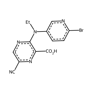 CCN(c1ccc(Br)nc1)c1ncc(C#N)nc1C(=O)O